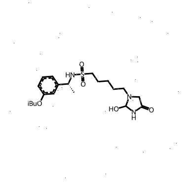 CC(C)COc1cccc([C@@H](C)NS(=O)(=O)CCCCCN2CC(=O)NC2O)c1